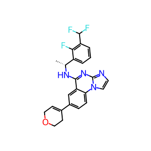 C[C@@H](Nc1nc2nccn2c2ccc(C3=CCOCC3)cc12)c1cccc(C(F)F)c1F